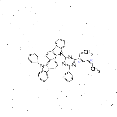 C=C/C(=C\C=C/C)c1nc(-c2ccccc2)nc(-n2c3ccccc3c3ccc4c(ccc5c6ccccc6n(-c6ccccc6)c54)c32)n1